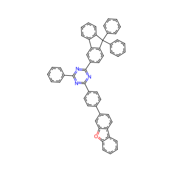 c1ccc(-c2nc(-c3ccc(-c4ccc5c(c4)oc4ccccc45)cc3)nc(-c3ccc4c(c3)-c3ccccc3C4(c3ccccc3)c3ccccc3)n2)cc1